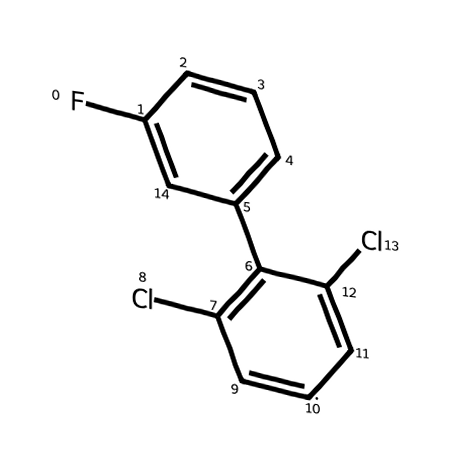 Fc1cccc(-c2c(Cl)c[c]cc2Cl)c1